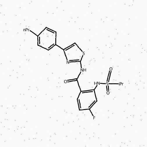 CCCc1ccc(-c2csc(NC(=O)c3ccc(F)cc3NS(=O)(=O)C(C)C)n2)cc1